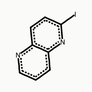 Ic1ccc2ncccc2n1